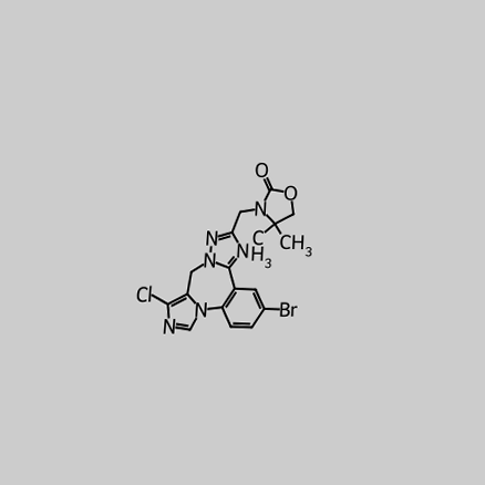 CC1(C)COC(=O)N1Cc1nc2n(n1)Cc1c(Cl)ncn1-c1ccc(Br)cc1-2